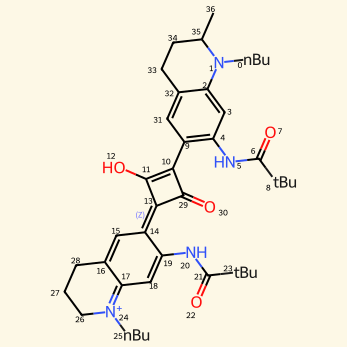 CCCCN1c2cc(NC(=O)C(C)(C)C)c(C3=C(O)/C(=c4\cc5c(cc4NC(=O)C(C)(C)C)=[N+](CCCC)CCC5)C3=O)cc2CCC1C